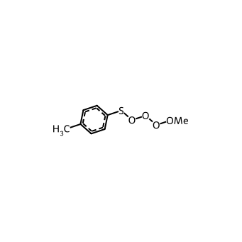 COOOOSc1ccc(C)cc1